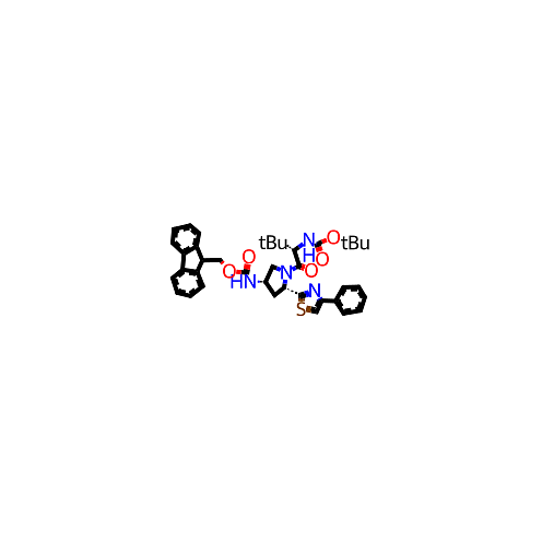 CC(C)(C)OC(=O)N[C@H](C(=O)N1C[C@@H](NC(=O)OCC2c3ccccc3-c3ccccc32)C[C@H]1c1nc(-c2ccccc2)cs1)C(C)(C)C